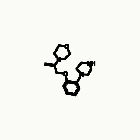 C=C(COc1ccccc1N1CCNCC1)N1CCOCC1